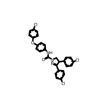 O=C(Nc1ccc(Oc2ccc(Cl)cc2)cc1)N1CC(c2ccc(Cl)cc2)C(c2ccc(Cl)cc2)=N1